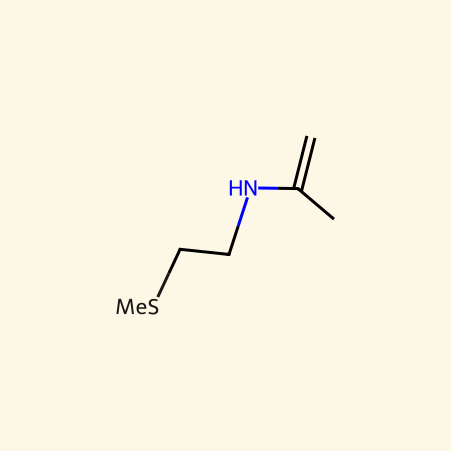 C=C(C)NCCSC